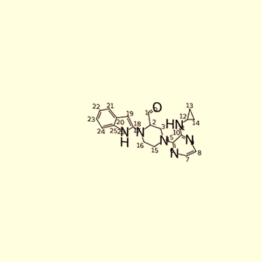 O=CC1CN(c2nccnc2NC2CC2)CCN1c1cc2ccccc2[nH]1